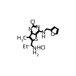 CC[C@@H](N)c1sc2c(NCc3ccco3)nc(Cl)nc2c1C.Cl